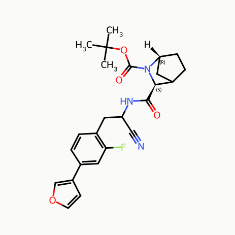 CC(C)(C)OC(=O)N1[C@@H]2CCC(C2)[C@H]1C(=O)NC(C#N)Cc1ccc(-c2ccoc2)cc1F